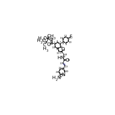 CC1(C)OB(c2cc(-c3ccc(F)cc3)c3oc(CNC(=O)/C=C/c4ccc(N)nc4)cc3c2)OC1(C)C